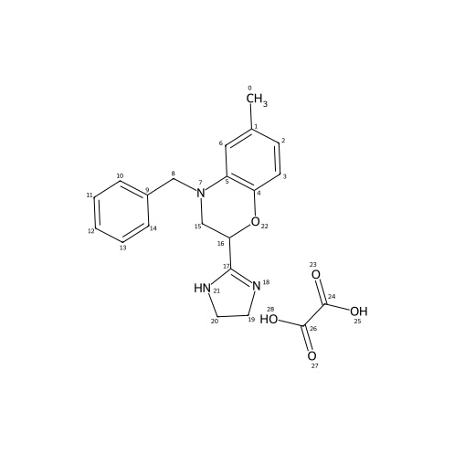 Cc1ccc2c(c1)N(Cc1ccccc1)CC(C1=NCCN1)O2.O=C(O)C(=O)O